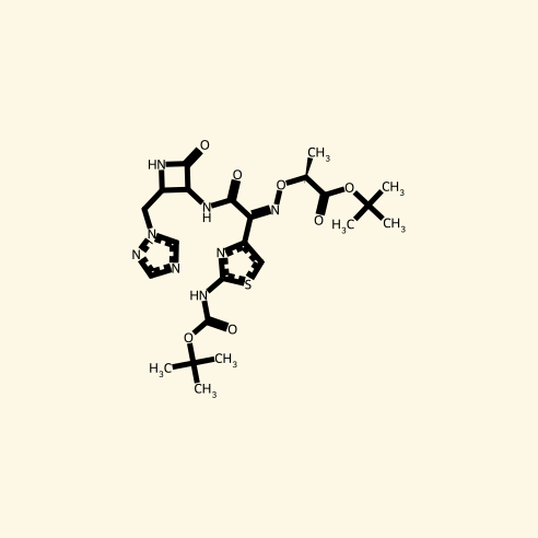 C[C@H](O/N=C(\C(=O)NC1C(=O)NC1Cn1cncn1)c1csc(NC(=O)OC(C)(C)C)n1)C(=O)OC(C)(C)C